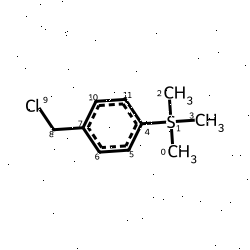 CS(C)(C)c1ccc(CCl)cc1